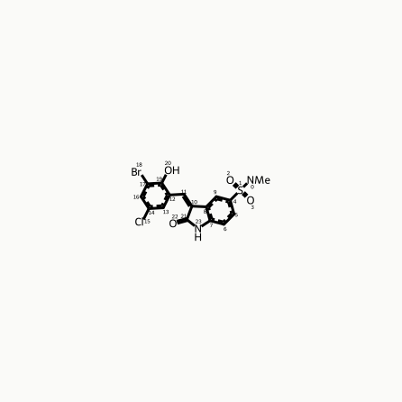 CNS(=O)(=O)c1ccc2c(c1)C(=Cc1cc(Cl)cc(Br)c1O)C(=O)N2